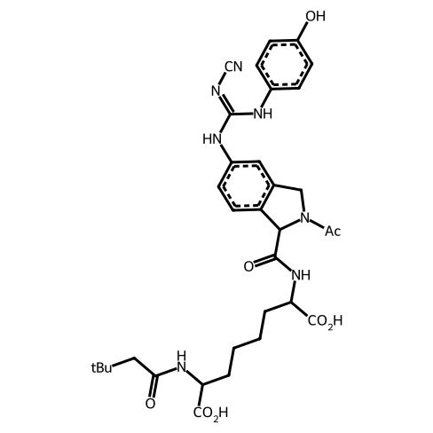 CC(=O)N1Cc2cc(NC(=NC#N)Nc3ccc(O)cc3)ccc2C1C(=O)NC(CCCCC(NC(=O)CC(C)(C)C)C(=O)O)C(=O)O